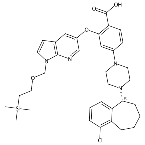 C[Si](C)(C)CCOCn1ccc2cc(Oc3cc(N4CCN([C@@H]5CCCCc6c(Cl)cccc65)CC4)ccc3C(=O)O)cnc21